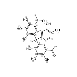 CC(=O)c1cc(C(C)(c2ccc(O)c(O)c2)c2cc(C(C)=O)c(O)c(O)c2O)c(O)c(O)c1O